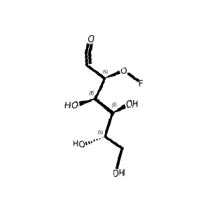 O=C[C@@H](OF)[C@H](O)[C@@H](O)[C@@H](O)CO